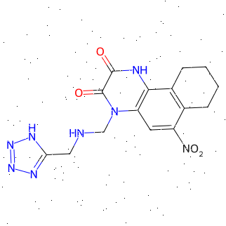 O=c1[nH]c2c3c(c([N+](=O)[O-])cc2n(CNCc2nnn[nH]2)c1=O)CCCC3